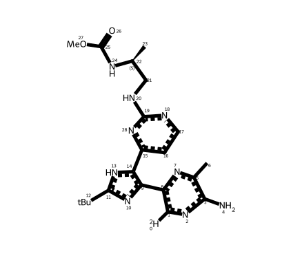 [2H]c1nc(N)c(C)nc1-c1nc(C(C)(C)C)[nH]c1-c1ccnc(NC[C@H](C)NC(=O)OC)n1